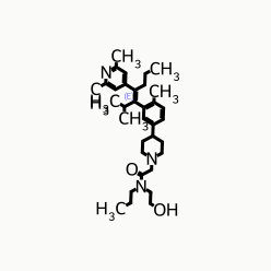 CCC/C(=C(\c1cc(C2CCN(CC(=O)N(CCC)CCO)CC2)ccc1C)C(C)C)c1cc(C)nc(C)c1